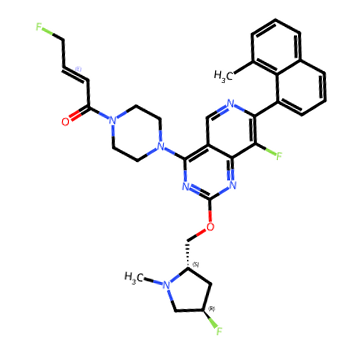 Cc1cccc2cccc(-c3ncc4c(N5CCN(C(=O)/C=C/CF)CC5)nc(OC[C@@H]5C[C@@H](F)CN5C)nc4c3F)c12